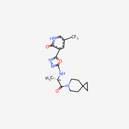 C[C@H](Nc1nnc(-c2cc(C(F)(F)F)c[nH]c2=O)o1)C(=O)N1CCC2(CC1)CC2